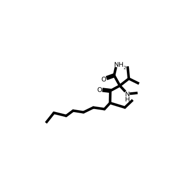 CCCCCCCC(CC)C(=O)C(NC)(C(N)=O)C(C)C